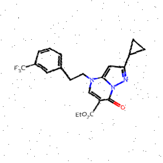 CCOC(=O)c1cn(CCc2cccc(C(F)(F)F)c2)c2cc(C3CC3)nn2c1=O